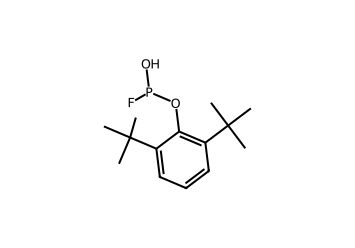 CC(C)(C)c1cccc(C(C)(C)C)c1OP(O)F